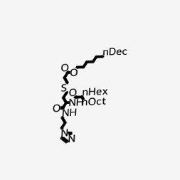 CCCCCCCCCCCCCCCCOC(=O)CCSCCC(NC(=O)C(CCCCCC)CCCCCCCC)C(=O)NCCCn1ccnc1